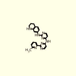 Cc1cccc(-c2nccc(Nc3ccnc(Nc4ccc5c(c4)NCCC5)n3)n2)n1